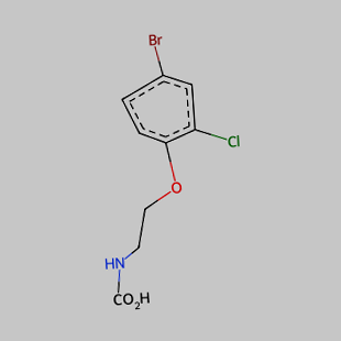 O=C(O)NCCOc1ccc(Br)cc1Cl